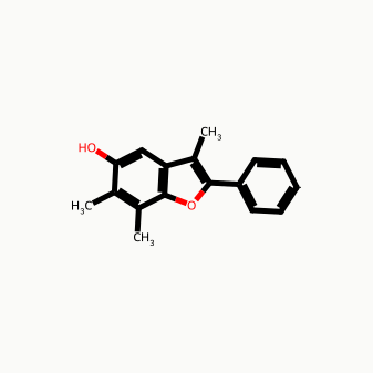 Cc1c(O)cc2c(C)c(-c3cc[c]cc3)oc2c1C